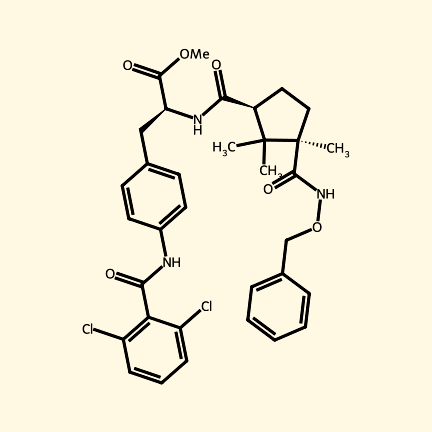 COC(=O)[C@H](Cc1ccc(NC(=O)c2c(Cl)cccc2Cl)cc1)NC(=O)[C@H]1CC[C@@](C)(C(=O)NOCc2ccccc2)C1(C)C